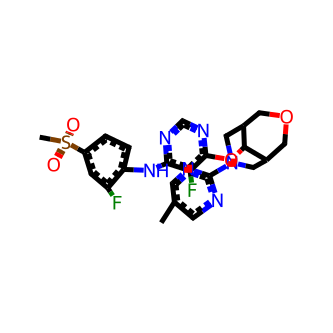 Cc1cnc(N2CC3COCC(C2)C3Oc2ncnc(Nc3ccc(S(C)(=O)=O)cc3F)c2F)nc1